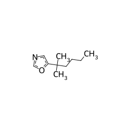 CCCCC(C)(C)c1cnco1